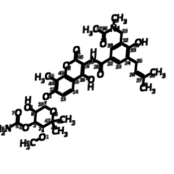 CO[C@@H]1[C@@H](OC(N)=O)[C@@H](O)[C@H](Oc2ccc3c(O)c(NC(=O)c4cc(CC=C(C)C)c(O)c(CN(C)C(C)=O)c4)c(=O)oc3c2C)OC1(C)C